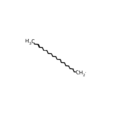 [CH2]CCCCCCCCCCCCCCCCC=CCC